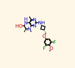 COc1c(F)cc(OC[C@H]2C[C@@H](Nc3nc(C)c4c(n3)N(C)[C@@H](C)C(O)N4)C2)cc1F